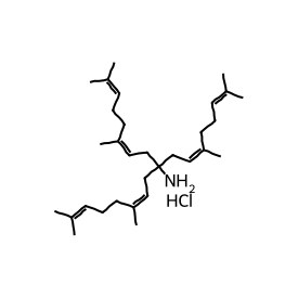 CC(C)=CCC/C(C)=C\CC(N)(C/C=C(/C)CCC=C(C)C)C/C=C(/C)CCC=C(C)C.Cl